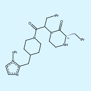 CCCn1ccnc1CC1CCN(C(=O)C(CC(C)C)N2CCN[C@@H](CC(C)C)C2=O)CC1